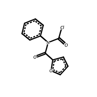 O=C(Cl)N(C(=O)c1ccco1)c1ccccc1